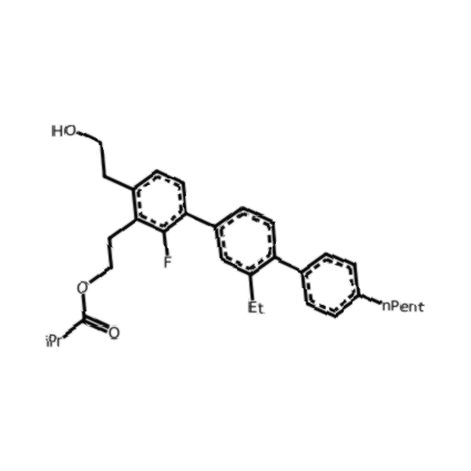 CCCCCc1ccc(-c2ccc(-c3ccc(CCO)c(CCOC(=O)C(C)C)c3F)cc2CC)cc1